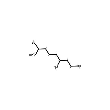 CC(C)C(CCCC(O)CCO)C(=O)O